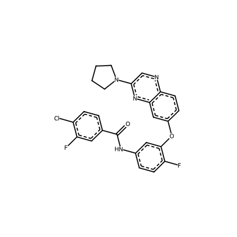 O=C(Nc1ccc(F)c(Oc2ccc3ncc(N4CCCC4)nc3c2)c1)c1ccc(Cl)c(F)c1